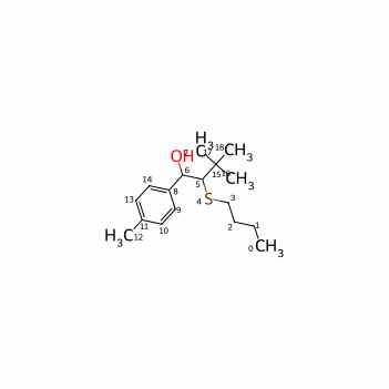 CCCCSC(C(O)c1ccc(C)cc1)C(C)(C)C